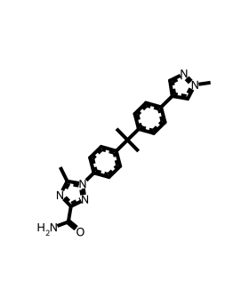 Cc1nc(C(N)=O)nn1-c1ccc(C(C)(C)c2ccc(-c3cnn(C)c3)cc2)cc1